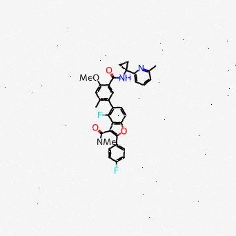 CNC(=O)c1c(-c2ccc(F)cc2)oc2ccc(-c3cc(C(=O)NC4(c5cccc(C)n5)CC4)c(OC)cc3C)c(F)c12